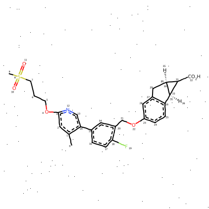 Cc1cc(OCCCS(C)(=O)=O)ncc1-c1ccc(F)c(COc2ccc3c(c2)C[C@H]2C(C(=O)O)[C@@H]32)c1